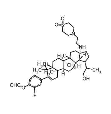 CC(CO)[C@@H]1CC[C@]2(NCCN3CCS(=O)(=O)CC3)CC[C@]3(C)[C@H](CC[C@@H]4[C@@]5(C)CC=C(c6ccc(OC=O)c(F)c6)C(C)(C)[C@@H]5CC[C@]43C)[C@@H]12